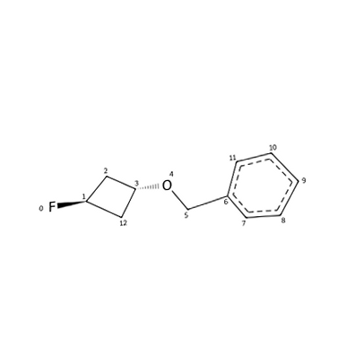 F[C@H]1C[C@H](OCc2ccccc2)C1